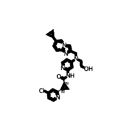 O=C(Nc1cc(N(CCO)Cc2cn3cc(C4CC4)ccc3n2)ccn1)[C@H]1C[C@@H]1c1cc(Cl)ccn1